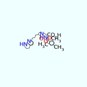 Cc1cc(C)c(S(=O)(=O)NC(CN2CC(CCCc3ccc4c(n3)NCCC4)C2=O)C(=O)O)c(C)c1